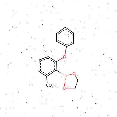 O=C(O)c1cccc(Oc2ccccc2)c1B1OCCO1